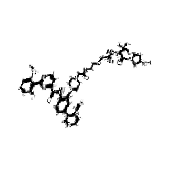 COc1cccc(F)c1-c1nccc(C(=O)Nc2ccc(-c3cnccc3C#N)cc2N2CCN(CC(=O)NCCOCC(=O)N[C@H](C(=O)N3CC[C@@H](O)C3)C(C)(C)C)CC2)n1